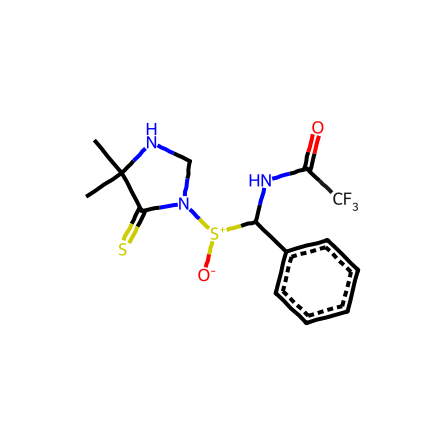 CC1(C)NCN([S+]([O-])C(NC(=O)C(F)(F)F)c2ccccc2)C1=S